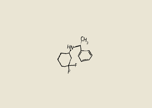 C[C@@H](N[C@@H]1CCCC(F)(F)C1)c1ccccc1